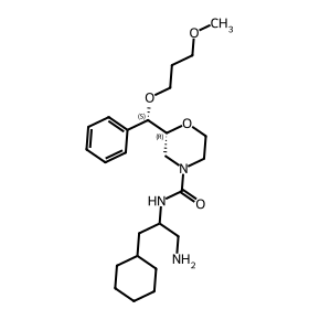 COCCCO[C@@H](c1ccccc1)[C@H]1CN(C(=O)NC(CN)CC2CCCCC2)CCO1